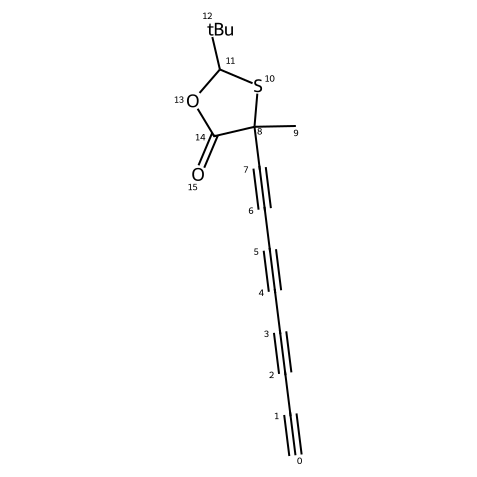 C#CC#CC#CC#CC1(C)SC(C(C)(C)C)OC1=O